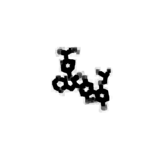 COc1cn(C(CC2COCCO2)C(=O)Nc2ccc(C(N)=O)nc2)c(=O)cc1-c1cc(Cl)ccc1OCC(F)F